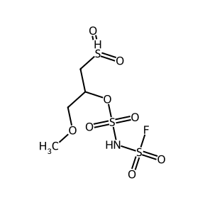 COCC(C[SH](=O)=O)OS(=O)(=O)NS(=O)(=O)F